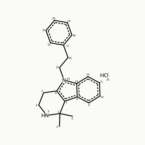 CC1(C)NCCc2c1c1ccccc1n2CCc1ccccc1.Cl